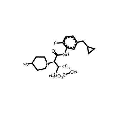 CCC1CCN([C@@H](C(=O)Nc2cc(CC3CC3)ccc2F)[C@@H](C)C(F)(F)F)CC1.O=C(O)O